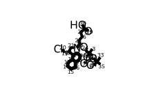 CC(C)(C)OP(=O)(Oc1cc2c(c3ccccc13)[C@H](CCl)CN2C(=O)CCCC(=O)O)OC(C)(C)C